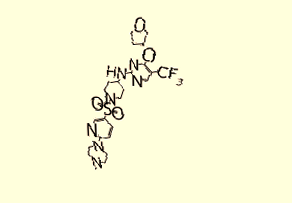 CN1CCN(c2ccc(S(=O)(=O)N3CCC(Nc4ncc(C(F)(F)F)c(O[C@H]5CCOC5)n4)CC3)cn2)CC1